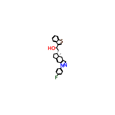 C[C@]12Cc3cnn(-c4ccc(F)cc4)c3C=C1CC[C@@H]2C[C@@H](O)c1csc2ccccc12